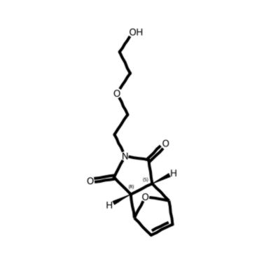 O=C1[C@@H]2C3C=CC(O3)[C@@H]2C(=O)N1CCOCCO